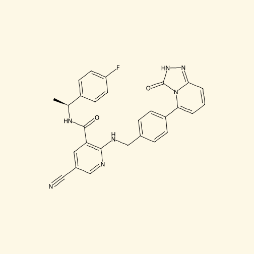 C[C@H](NC(=O)c1cc(C#N)cnc1NCc1ccc(-c2cccc3n[nH]c(=O)n23)cc1)c1ccc(F)cc1